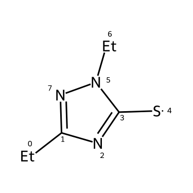 CCc1nc([S])n(CC)n1